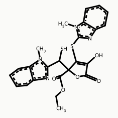 CCOC(=O)C1(C(S)c2nc3ccccc3n2C)OC(=O)C(O)=C1Sc1nc2ccccc2n1C